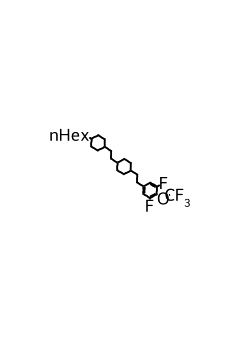 CCCCCCC1CCC(CCC2CCC(CCc3cc(F)c(OC(F)(F)F)c(F)c3)CC2)CC1